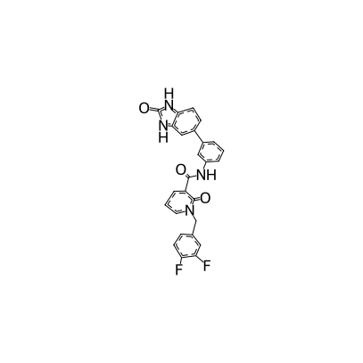 O=C(Nc1cccc(-c2ccc3[nH]c(=O)[nH]c3c2)c1)c1cccn(Cc2ccc(F)c(F)c2)c1=O